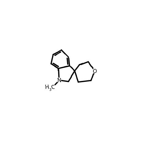 CN1CC2(CCOCC2)c2ccccc21